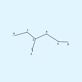 [CH2]CC(I)CCC